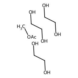 COC(C)=O.OCCO.OCCO.OCCO